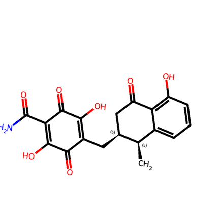 C[C@@H]1c2cccc(O)c2C(=O)C[C@@H]1CC1=C(O)C(=O)C(C(N)=O)=C(O)C1=O